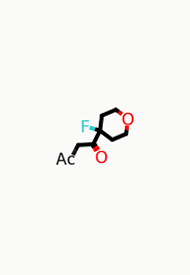 CC(=O)CC(=O)C1(F)CCOCC1